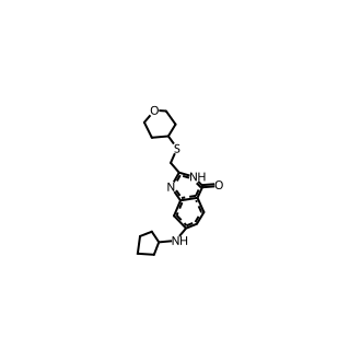 O=c1[nH]c(CSC2CCOCC2)nc2cc(NC3CCCC3)ccc12